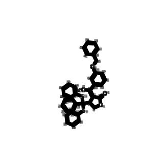 CC(=O)OC(=C1C(=O)OCC1C(Sc1ccccc1)(Sc1ccccc1)c1ccccc1)c1cccc(OCc2ccccc2)c1